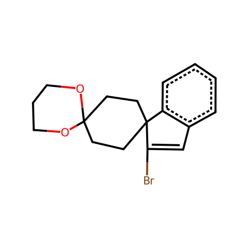 BrC1=Cc2ccccc2C12CCC1(CC2)OCCCO1